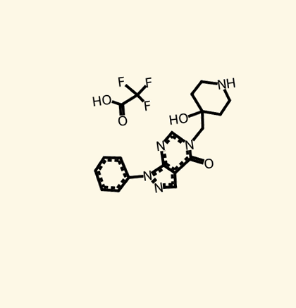 O=C(O)C(F)(F)F.O=c1c2cnn(-c3ccccc3)c2ncn1CC1(O)CCNCC1